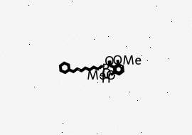 COc1cccc(OC)c1C(=O)[PH](=O)CCCCCCCCC1CCCCC1